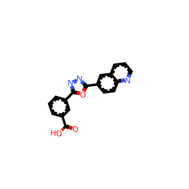 O=C(O)c1cccc(-c2nnc(-c3ccc4ncccc4c3)o2)c1